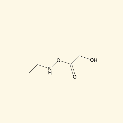 CCNOC(=O)CO